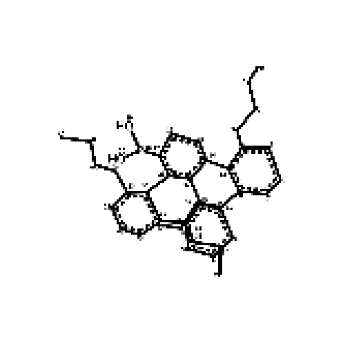 CCCCc1cccc(CCCC)c1-c1ccc(P(O)O)c(-c2c(CCCC)cccc2CCCC)c1-c1ccccc1